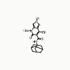 CCCCn1c(=O)c(C(=O)NC23CC4CC(CC(C4)C2)C3)c(O)c2nn(CC)cc21